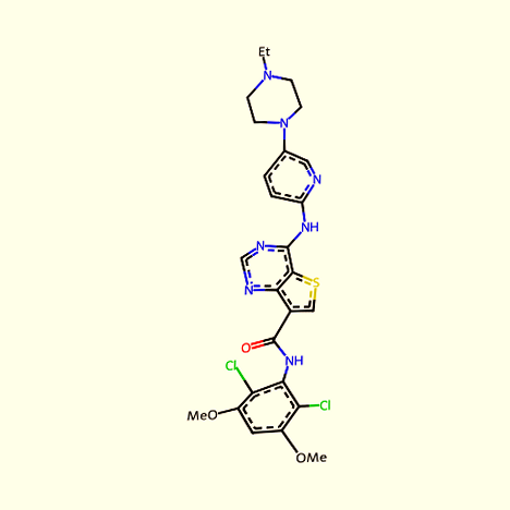 CCN1CCN(c2ccc(Nc3ncnc4c(C(=O)Nc5c(Cl)c(OC)cc(OC)c5Cl)csc34)nc2)CC1